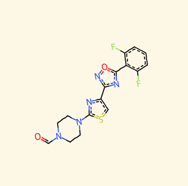 O=CN1CCN(c2nc(-c3noc(-c4c(F)cccc4F)n3)cs2)CC1